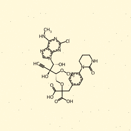 C#C[C@@](O)([C@@H](COC(Cc1ccc(N2CCCNC2=O)cc1)(C(=O)O)C(=O)O)OC)[C@@H](O)n1cnc2c(NC)nc(Cl)nc21